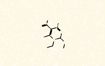 CCN1C(C)=C(C(=O)O)C(O)=NC1SC